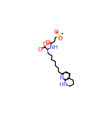 CS(=O)(=O)CCC(=O)N[C@@H](CCCCCCCc1ccc2c(n1)NCCC2)C(=O)O